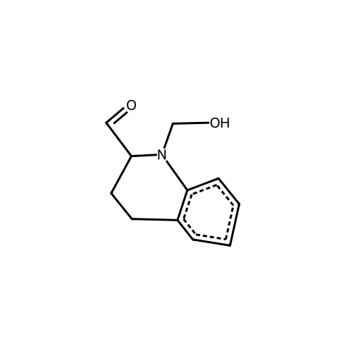 O=CC1CCc2ccccc2N1CO